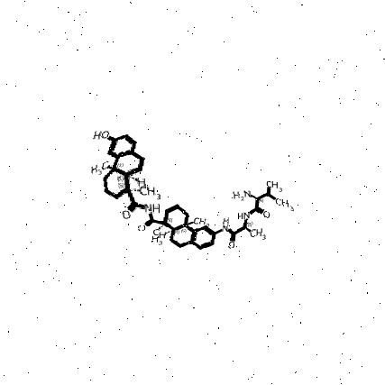 CC(C)[C@H](N)C(=O)N[C@@H](C)C(=O)Nc1ccc2c(c1)[C@@]1(C)CCC[C@](C)(C(=O)NC(=O)[C@@]3(C)CCC[C@]4(C)c5cc(O)ccc5CC[C@@H]34)[C@@H]1CC2